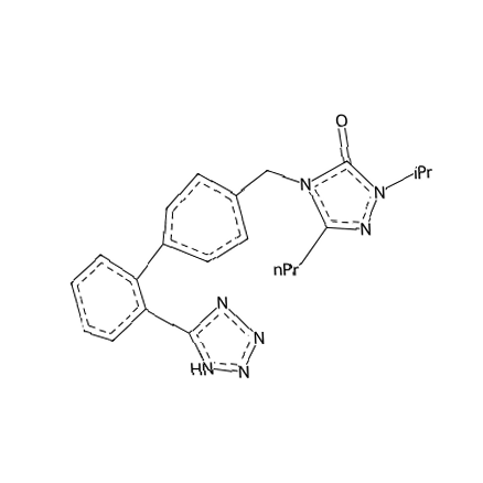 CCCc1nn(C(C)C)c(=O)n1Cc1ccc(-c2ccccc2-c2nnn[nH]2)cc1